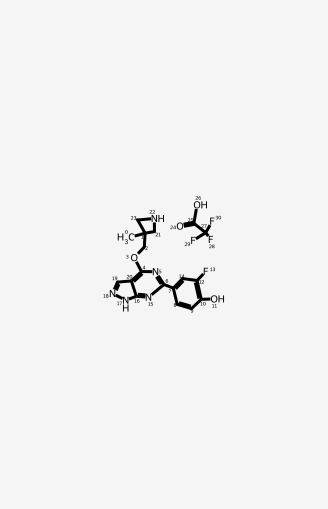 CC1(COc2nc(-c3ccc(O)c(F)c3)nc3[nH]ncc23)CNC1.O=C(O)C(F)(F)F